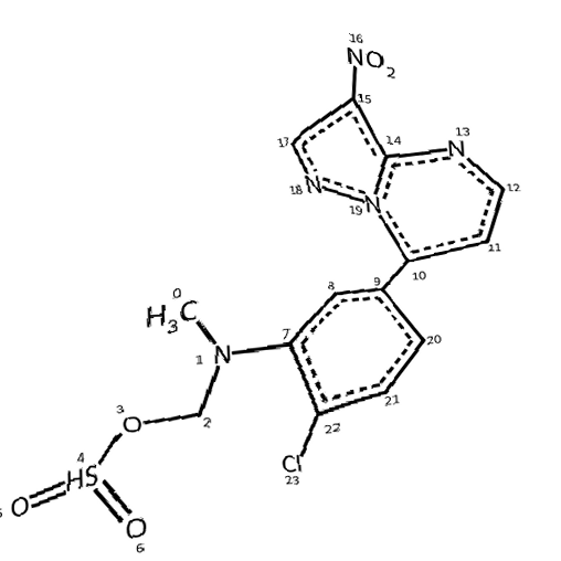 CN(CO[SH](=O)=O)c1cc(-c2ccnc3c([N+](=O)[O-])cnn23)ccc1Cl